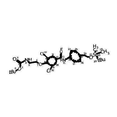 CC(C)(C)OC(=O)NCCOc1c(Cl)cc(C(=O)Nc2ccc(CO[Si](C)(C)C(C)(C)C)cc2)cc1Cl